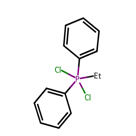 CCP(Cl)(Cl)(c1ccccc1)c1ccccc1